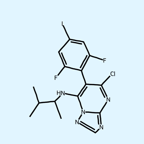 CC(C)C(C)Nc1c(-c2c(F)cc(I)cc2F)c(Cl)nc2ncnn12